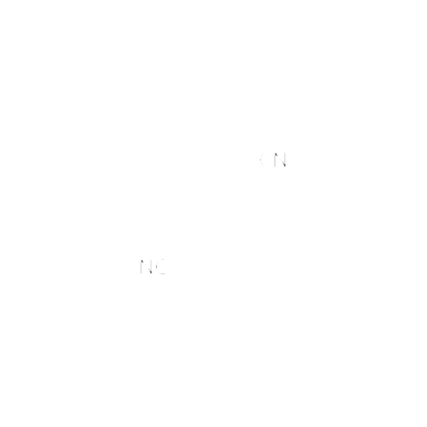 [CH2]C(C#N)=C(C)C#N